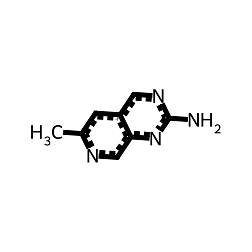 Cc1cc2cnc(N)nc2cn1